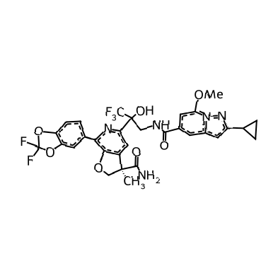 COc1cc(C(=O)NCC(O)(c2cc3c(c(-c4ccc5c(c4)OC(F)(F)O5)n2)OC[C@]3(C)C(N)=O)C(F)(F)F)cc2cc(C3CC3)nn12